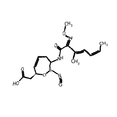 C\C=C/C=C(C)/C(=N/OC)C(=O)NC1CC=C[C@H](CC(=O)O)OB1N=O